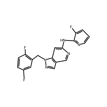 Fc1ccc(F)c(Cn2ncc3cnc(Nc4ncccc4F)cc32)c1